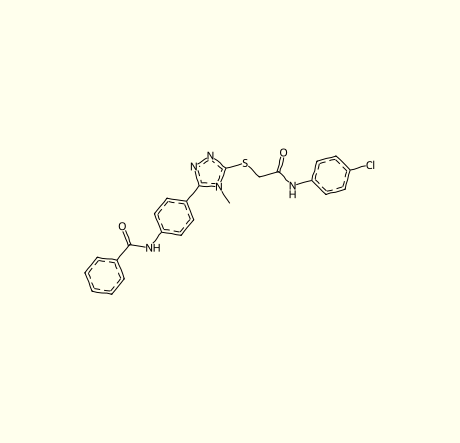 Cn1c(SCC(=O)Nc2ccc(Cl)cc2)nnc1-c1ccc(NC(=O)c2ccccc2)cc1